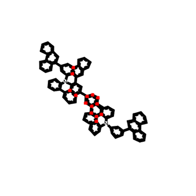 c1ccc(-c2ccccc2N(c2cccc(-c3cc4ccccc4c4ccccc34)c2)c2ccc(-c3ccc4ccc(-c5ccccc5N(c5cccc(-c6cc7ccccc7c7ccccc67)c5)c5cccc(-c6ccccc6)c5-c5ccccc5)cc4c3)cc2-c2ccc3ccccc3c2)cc1